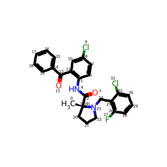 C[C@]1(C(=O)Nc2ccc(Cl)cc2C(=O)c2ccccc2)CCCN1Cc1c(F)cccc1Cl